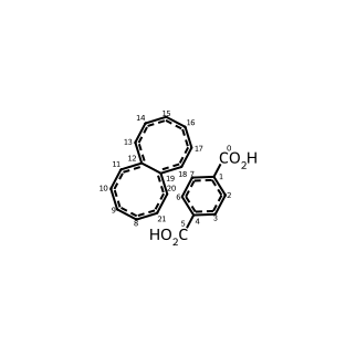 O=C(O)c1ccc(C(=O)O)cc1.c1cccc2ccccccc-2cc1